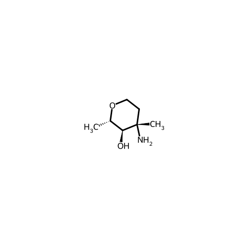 C[C@@H]1OCC[C@](C)(N)[C@H]1O